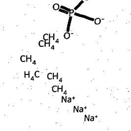 C.C.C.C.C.C.O=P([O-])([O-])[O-].[Na+].[Na+].[Na+]